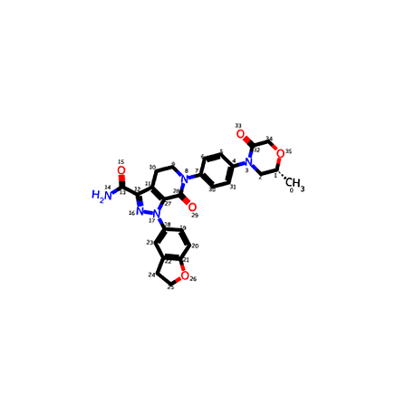 C[C@@H]1CN(c2ccc(N3CCc4c(C(N)=O)nn(-c5ccc6c(c5)CCO6)c4C3=O)cc2)C(=O)CO1